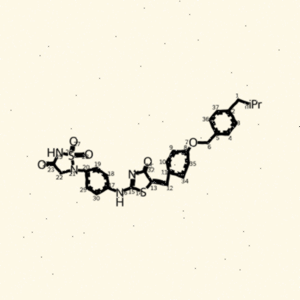 CC(C)Cc1ccc(COc2ccc(C=C3SC(Nc4ccc(N5CC(=O)NS5(=O)=O)cc4)=NC3=O)cc2)cc1